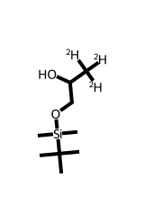 [2H]C([2H])([2H])C(O)CO[Si](C)(C)C(C)(C)C